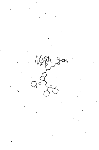 CC(=O)OCCCCC(CO[Si](C)(C)C(C)(C)C)C1=CC2CC(OC3CCCCO3)C(C=CC(OC3CCCCO3)C3CCCCC3)C2C1